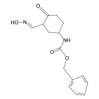 O=C(NC1CCC(=O)C(/C=N/O)C1)OCc1ccccc1